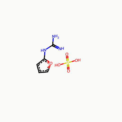 N=C(N)Nc1ccco1.O=S(=O)(O)O